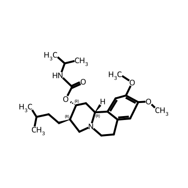 COc1cc2c(cc1OC)[C@H]1C[C@@H](OC(=O)NC(C)C)[C@H](CCC(C)C)CN1CC2